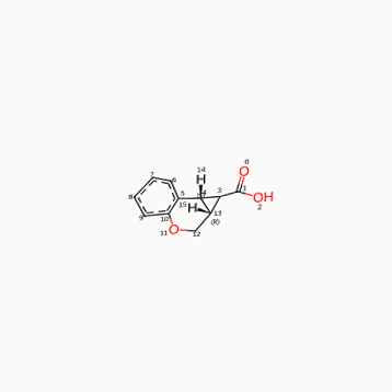 O=C(O)C1[C@H]2c3ccccc3OC[C@@H]12